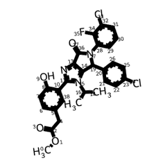 COC(=O)Cc1ccc(O)c(-c2nc3c(n2C(C)C)C(c2ccc(Cl)cc2)N(c2cccc(Cl)c2F)C3=O)c1